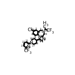 CC(N1Cc2cc(Cl)ccc2-n2c(nnc2C2CCN(c3cccc(C(F)(F)F)n3)CC2)C1)C(F)(F)F